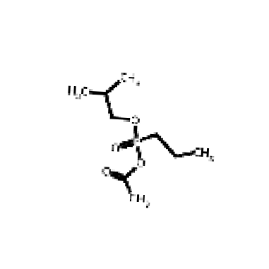 CCCP(=O)(OCC(C)C)OC(C)=O